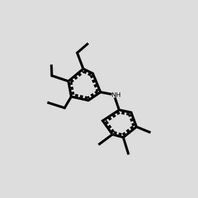 CCc1cc(Nc2cc(C)c(C)c(C)c2)cc(CC)c1CC